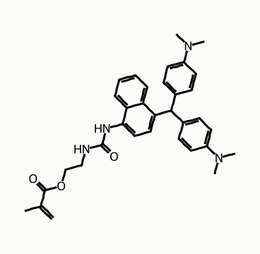 C=C(C)C(=O)OCCNC(=O)Nc1ccc(C(c2ccc(N(C)C)cc2)c2ccc(N(C)C)cc2)c2ccccc12